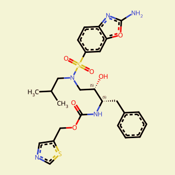 CC(C)CN(C[C@H](O)[C@H](Cc1ccccc1)NC(=O)OCc1cncs1)S(=O)(=O)c1ccc2nc(N)oc2c1